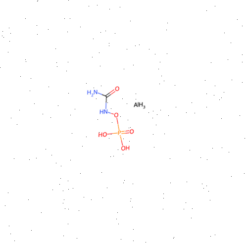 NC(=O)NOP(=O)(O)O.[AlH3]